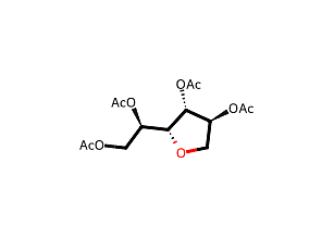 CC(=O)OC[C@@H](OC(C)=O)[C@H]1OC[C@H](OC(C)=O)[C@H]1OC(C)=O